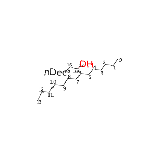 CCCCCCCCCCCCCC.CCCCCCCCCCCCO